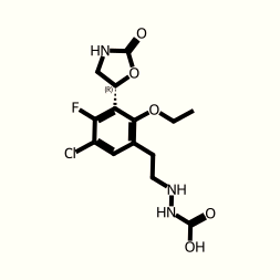 CCOc1c(CCNNC(=O)O)cc(Cl)c(F)c1[C@@H]1CNC(=O)O1